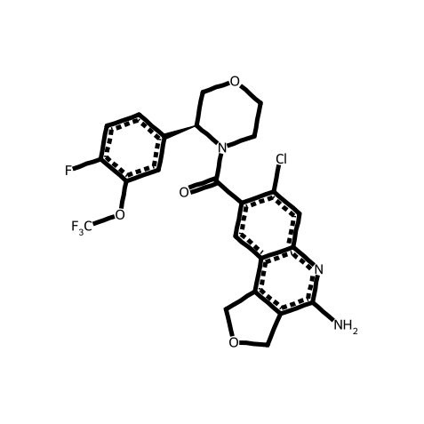 Nc1nc2cc(Cl)c(C(=O)N3CCOC[C@@H]3c3ccc(F)c(OC(F)(F)F)c3)cc2c2c1COC2